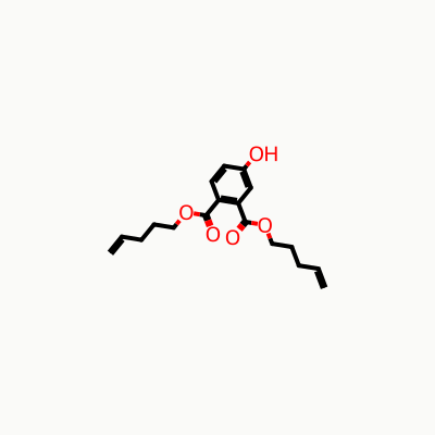 C=CCCCOC(=O)c1ccc(O)cc1C(=O)OCCCC=C